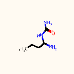 CCCC(N)NC(N)=O